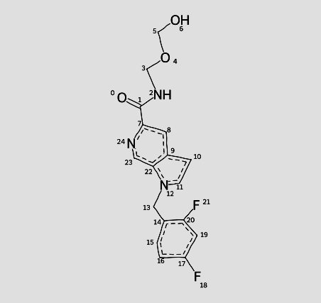 O=C(NCOCO)c1cc2ccn(Cc3ccc(F)cc3F)c2cn1